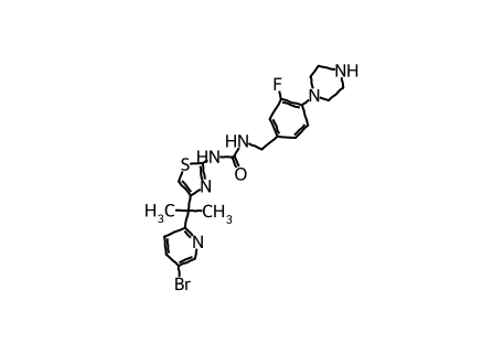 CC(C)(c1ccc(Br)cn1)c1csc(NC(=O)NCc2ccc(N3CCNCC3)c(F)c2)n1